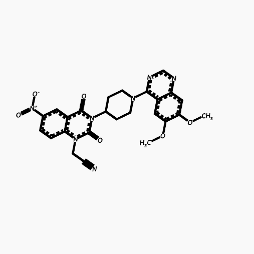 COc1cc2ncnc(N3CCC(n4c(=O)c5cc([N+](=O)[O-])ccc5n(CC#N)c4=O)CC3)c2cc1OC